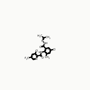 CC(C)=NNC(=O)c1cc(Cl)cc(C)c1NC(=O)c1ncc(C(F)(F)F)cc1Cl